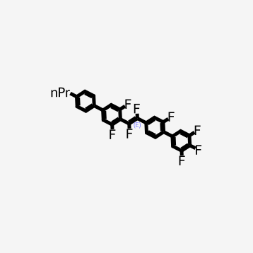 CCCc1ccc(-c2cc(F)c(/C(F)=C(\F)c3ccc(-c4cc(F)c(F)c(F)c4)c(F)c3)c(F)c2)cc1